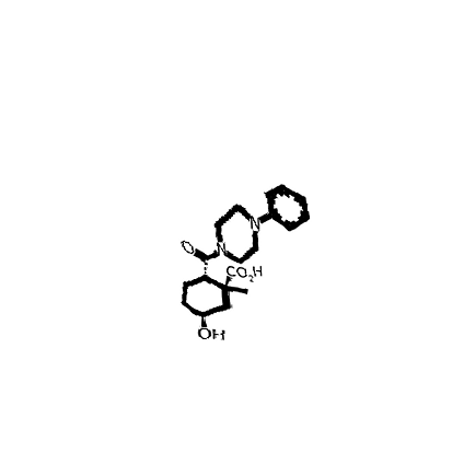 C[C@]1(C(=O)O)C[C@@H](O)CC[C@@H]1C(=O)N1CCN(c2ccccc2)CC1